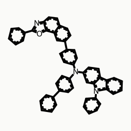 c1ccc(-c2ccc(N(c3ccc(-c4ccc5ccc6nc(-c7ccccc7)oc6c5c4)cc3)c3ccc4c5ccccc5n(-c5ccccc5)c4c3)cc2)cc1